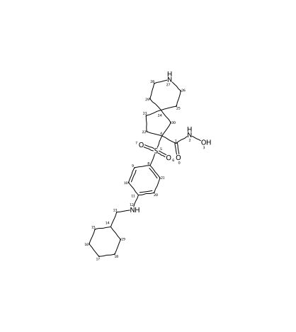 O=C(NO)C1(S(=O)(=O)c2ccc(NCC3CCCCC3)cc2)CCC2(CCNCC2)C1